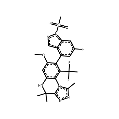 COc1cc2c(c(C(F)(F)F)c1-c1cc(F)cc3c1cnn3S(C)(=O)=O)-n1c(C)nnc1C(C)(C)N2